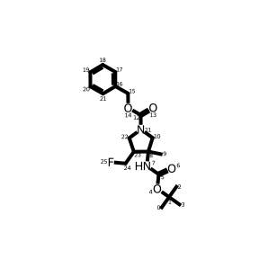 CC(C)(C)OC(=O)NC1(C)CN(C(=O)OCc2ccccc2)CC1CF